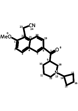 COc1ccc2cc(C(=O)C3CCCN(C4CCC4)C3)ccc2c1CC#N